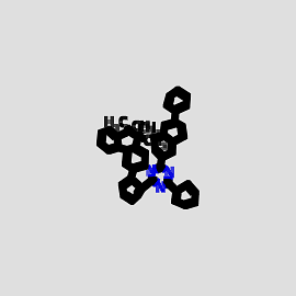 CC1(C)c2ccccc2-c2cc(-c3ccccc3-c3nc(-c4ccccc4)nc(-c4ccc5cc(-c6ccccc6)ccc5c4)n3)ccc2C1(C)C